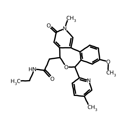 CCNC(=O)CC1OC(c2ccc(C)cn2)c2cc(OC)ccc2-c2cn(C)c(=O)cc21